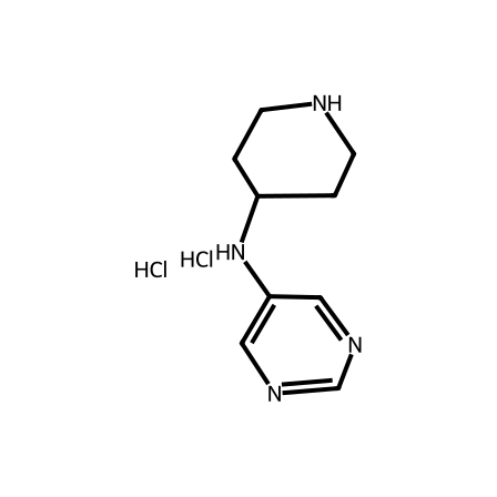 Cl.Cl.c1ncc(NC2CCNCC2)cn1